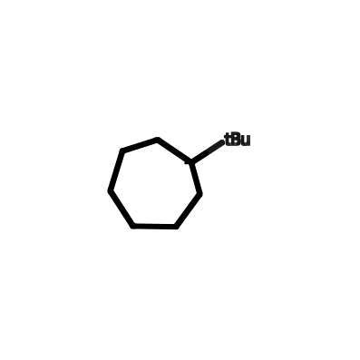 CC(C)(C)[C]1CCCCCC1